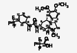 COc1ccc([C@@]23CC[C@@H](NC(=O)Nc4cccc(C(F)(F)F)c4)C[C@@H]2N(C)CC3)cc1OC.O=C(O)C(F)(F)F